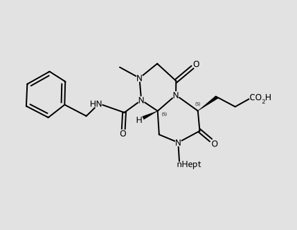 CCCCCCCN1C[C@H]2N(C(=O)CN(C)N2C(=O)NCc2ccccc2)[C@@H](CCC(=O)O)C1=O